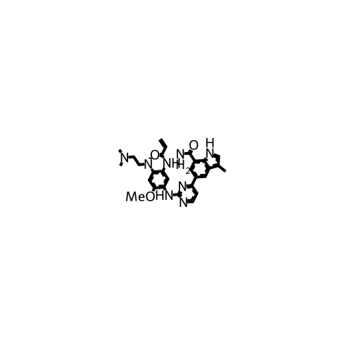 C=CC(=O)Nc1cc(Nc2nccc(-c3cc(C(N)=O)c4[nH]cc(C)c4c3)n2)c(OC)cc1N(C)CCN(C)C